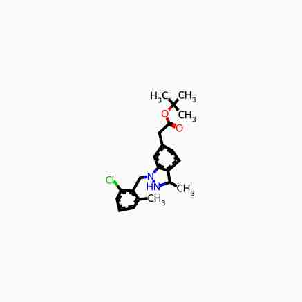 Cc1cccc(Cl)c1CN1NC(C)c2ccc(CC(=O)OC(C)(C)C)cc21